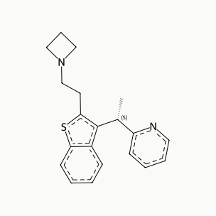 C[C@H](c1ccccn1)c1c(CCN2CCC2)sc2ccccc12